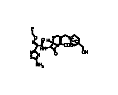 Nc1nc(/C(=N/OCF)C(=O)N[C@@H]2C(=O)N3C(C(=O)[O-])=C(C[N+]45CCC(CO)(CC4)CC5)CS[C@@H]23)ns1